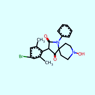 Cc1cc(Br)cc(C)c1C1C(=O)N(c2ccccc2)C2(CCN(O)CC2)C1=O